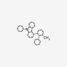 Cc1cccc(-c2cccc3c2c2ccccc2n3-c2ccccc2)c1-c1ccccc1